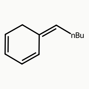 CCCCC=C1C=CC=CC1